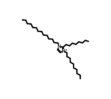 CCCCCCCCCCCCCCn1cc[n+](CCCCCCCCCC)c1CCCCCCCC